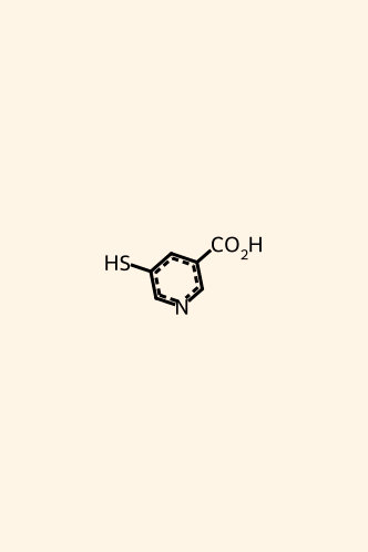 O=C(O)c1cncc(S)c1